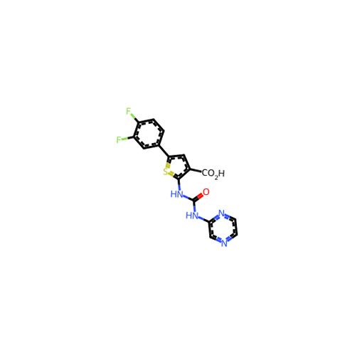 O=C(Nc1cnccn1)Nc1sc(-c2ccc(F)c(F)c2)cc1C(=O)O